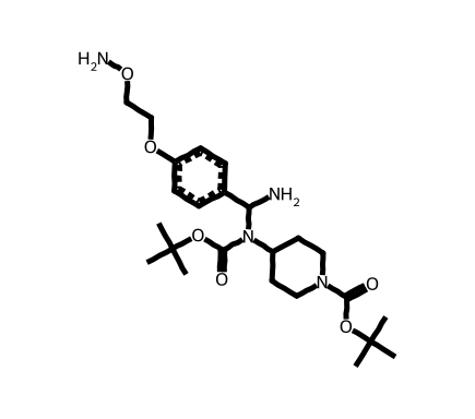 CC(C)(C)OC(=O)N1CCC(N(C(=O)OC(C)(C)C)C(N)c2ccc(OCCON)cc2)CC1